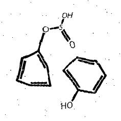 O=S(O)Oc1ccccc1.Oc1ccccc1